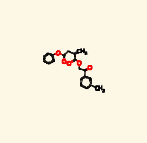 C=C(CC(=O)Oc1ccccc1)C(=O)OCC(=O)c1cccc(C)c1